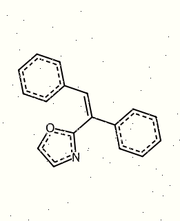 C(=C(c1ccccc1)c1ncco1)c1ccccc1